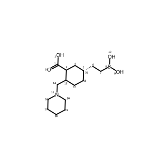 O=C(O)C1C[C@H](CCB(O)O)CCC1CN1CCCCC1